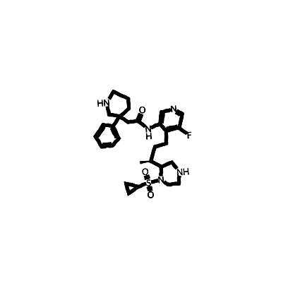 C[C@@H](CCc1c(F)cncc1NC(=O)CC1(c2ccccc2)CCCNC1)C1CNCCN1S(=O)(=O)C1CC1